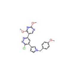 COc1ccc(Cn2ccc(-c3cc(-c4cnc(OC)nc4OC)nnc3Cl)c2)cc1